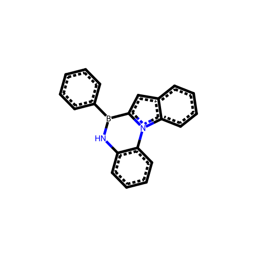 c1ccc(B2Nc3ccccc3-n3c2cc2ccccc23)cc1